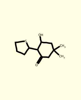 CC1(C)CC(=O)C(C2CCCS2)C(O)C1